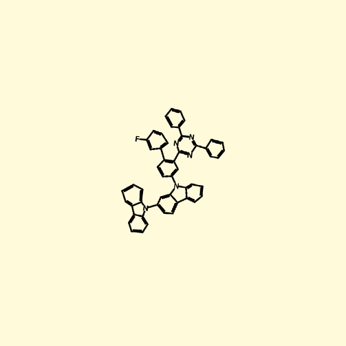 Fc1cccc(-c2ccc(-n3c4ccccc4c4ccc(-n5c6ccccc6c6ccccc65)cc43)cc2-c2nc(-c3ccccc3)nc(-c3ccccc3)n2)c1